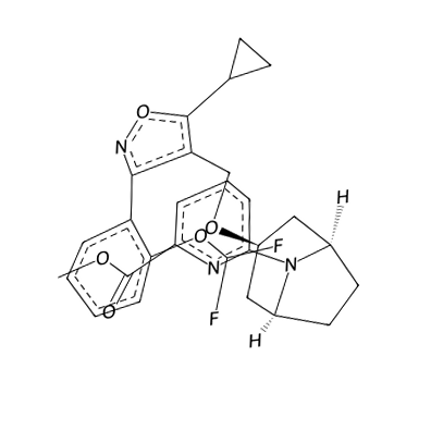 COC(=O)c1cccc(N2[C@@H]3CC[C@H]2C[C@@H](OCc2c(-c4ccccc4OC(F)F)noc2C2CC2)C3)n1